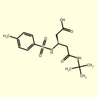 Cc1ccc(S(=O)(=O)N[C@@H](CC(=O)O)CC(=O)NC(C)(C)C)cc1